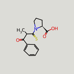 CC(C(=O)c1ccccc1)C(=S)N1CCC[C@H]1C(=O)O